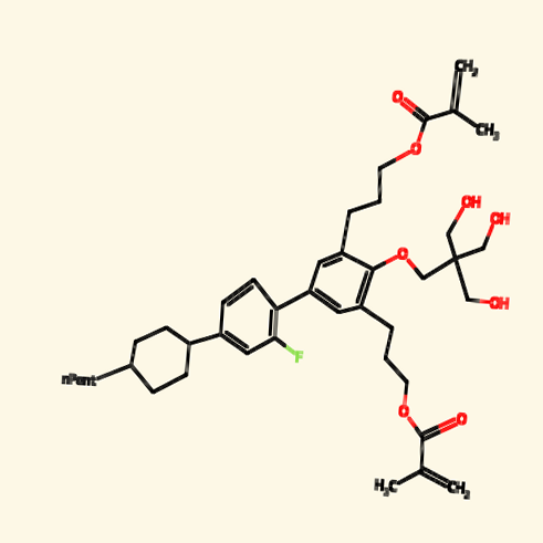 C=C(C)C(=O)OCCCc1cc(-c2ccc(C3CCC(CCCCC)CC3)cc2F)cc(CCCOC(=O)C(=C)C)c1OCC(CO)(CO)CO